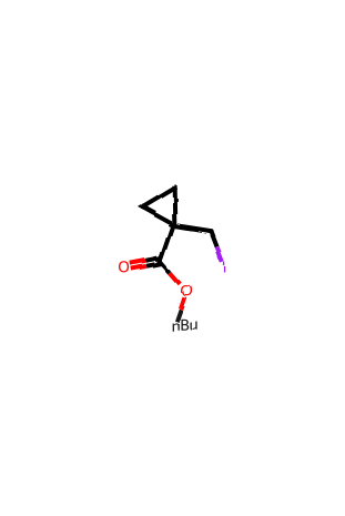 CCCCOC(=O)C1(CI)CC1